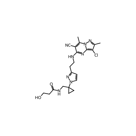 Cc1nn2c(C)c(C#N)c(NCCc3ccn(C4(CNC(=O)CCO)CC4)n3)nc2c1Cl